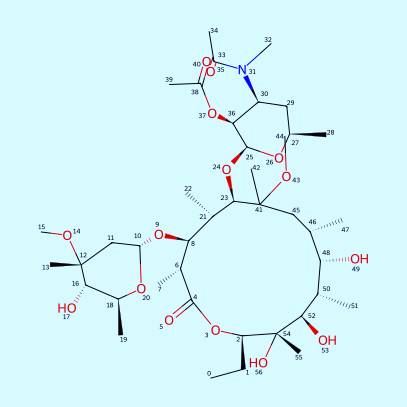 CC[C@H]1OC(=O)[C@H](C)[C@@H](O[C@H]2C[C@@](C)(OC)[C@@H](O)[C@H](C)O2)[C@H](C)[C@@H](O[C@@H]2O[C@H](C)C[C@H](N(C)C(C)=O)[C@@H]2OC(C)=O)C(C)(OC)C[C@H](C)[C@H](O)[C@H](C)[C@@H](O)[C@]1(C)O